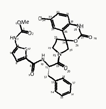 COC(=O)Nc1ccc(C(=O)N[C@@H](Cc2ccccc2)C(=O)N2CCC3(C2)OC(=O)Nc2ccc(Cl)cc23)s1